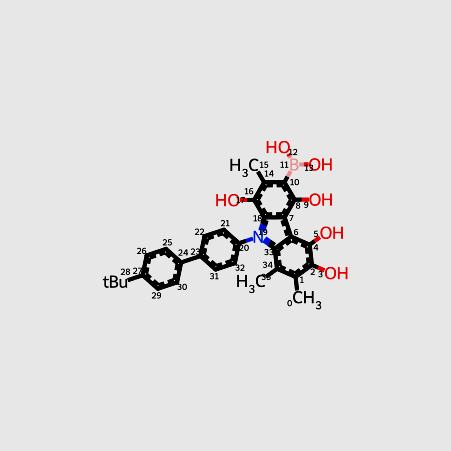 Cc1c(O)c(O)c2c3c(O)c(B(O)O)c(C)c(O)c3n(-c3ccc(-c4ccc(C(C)(C)C)cc4)cc3)c2c1C